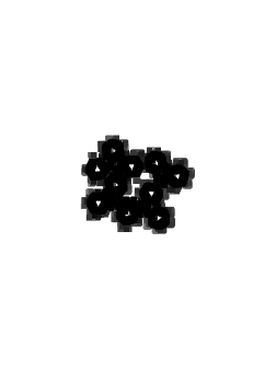 c1ccc([Si](c2ccccc2)(c2ccccc2)c2ccc3c(c2)c2ccccc2n3-c2cccc(-n3c4ccccc4c4cc(-n5c6ccccc6c6ccccc65)ccc43)n2)cc1